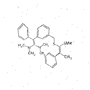 CS/C(SCc1cccc(C(=C(N(C)C)N(C)C)c2ccccc2)c1)=C(\C)c1ccccc1